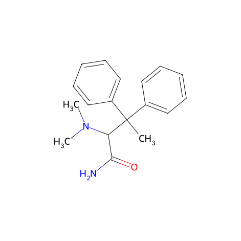 CN(C)C(C(N)=O)C(C)(c1ccccc1)c1ccccc1